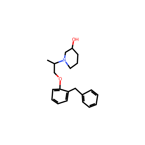 CC(COc1ccccc1Cc1ccccc1)N1CCCC(O)C1